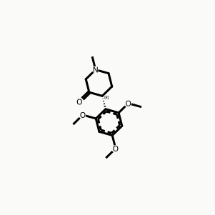 COc1cc(OC)c([C@H]2CCN(C)CC2=O)c(OC)c1